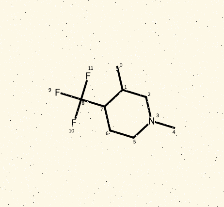 CC1CN(C)CCC1C(F)(F)F